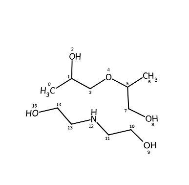 CC(O)COC(C)CO.OCCNCCO